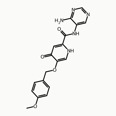 COc1ccc(COc2c[nH]c(C(=O)Nc3cncnc3N)cc2=O)cc1